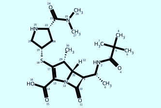 C[C@@H](NC(=O)C(C)(C)C)[C@H]1C(=O)N2C(C(=O)O)=C(S[C@@H]3CN[C@H](C(=O)N(C)C)C3)[C@H](C)[C@H]12